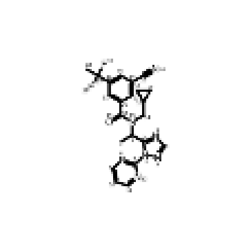 CC(c1ncnn1-c1ncccn1)N(CC1CC1)C(=O)c1cc(C#N)cc(C(C)(F)F)c1